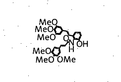 COc1cc(/C=C/C(=O)Nc2c(O)cccc2/C=C/c2cc(OC)c(OC)c(OC)c2)cc(OC)c1OC